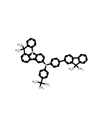 CC(C)(C)c1ccc(N(c2ccc(-c3ccc4c(c3)C(C)(C)c3ccccc3-4)cc2)c2ccc3c(c2)c2cccc4c2n3-c2ccccc2C4(C)C)cc1